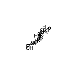 O=C(NS(=O)(=O)c1ccc(NCCSc2ccccc2)c(C(F)(F)F)c1)c1ccc(N2CCN(Cc3cc(-c4cccc(O)c4)cs3)CC2)nn1